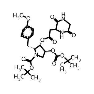 COc1ccc(C[C@@H]2[C@H](OC(=O)CC3NC(=O)CNC3=O)[C@@H](OC(=O)OC(C)(C)C)CN2C(=O)OC(C)(C)C)cc1